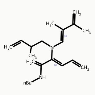 C=C/C=C(/C(=C)NCCCC)N(/C=C(\C)C(=C)C)CC(C)C=C